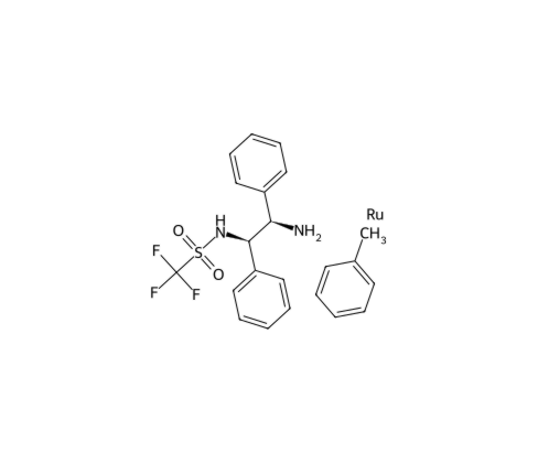 Cc1ccccc1.N[C@H](c1ccccc1)[C@H](NS(=O)(=O)C(F)(F)F)c1ccccc1.[Ru]